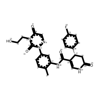 Cc1ccc(-n2ncc(=O)n(CCO)c2=O)cc1NC(=O)C1=CNC(=O)C[C@H]1c1ccc(F)cc1